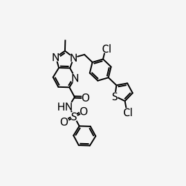 Cc1nc2ccc(C(=O)NS(=O)(=O)c3ccccc3)nc2n1Cc1ccc(-c2ccc(Cl)s2)cc1Cl